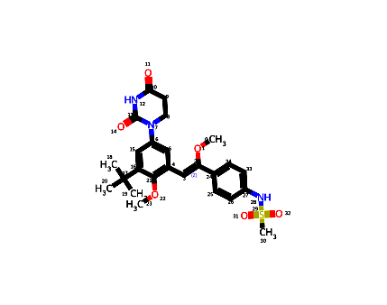 CO/C(=C\c1cc(N2CCC(=O)NC2=O)cc(C(C)(C)C)c1OC)c1ccc(NS(C)(=O)=O)cc1